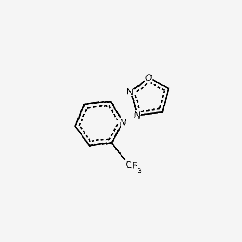 FC(F)(F)c1ccccn1.c1conn1